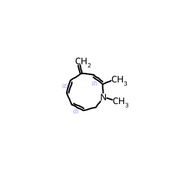 C=C1/C=C\C=C/CN(C)/C(C)=C\1